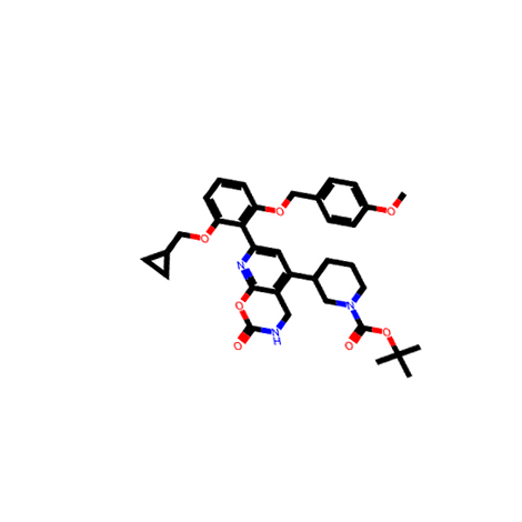 COc1ccc(COc2cccc(OCC3CC3)c2-c2cc(C3CCCN(C(=O)OC(C)(C)C)C3)c3c(n2)OC(=O)NC3)cc1